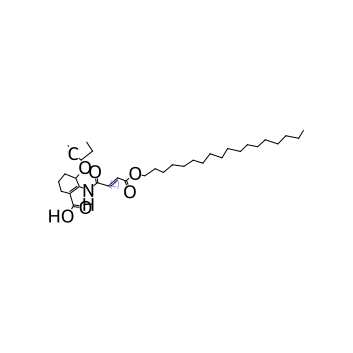 CCCCCCCCCCCCCCCCCCOC(=O)/C=C/C(=O)NC1=C(C(=O)O)CCCC1OC(CC)CC